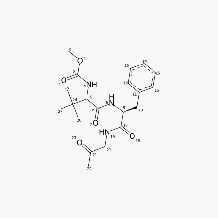 COC(=O)NC(C(=O)N[C@@H](Cc1ccccc1)C(=O)NCC(C)=O)C(C)(C)C